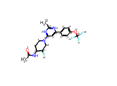 CC(=O)NC1CCN(c2cc(-c3ccc(OC(F)(F)F)cc3)nc(C)n2)CC1F